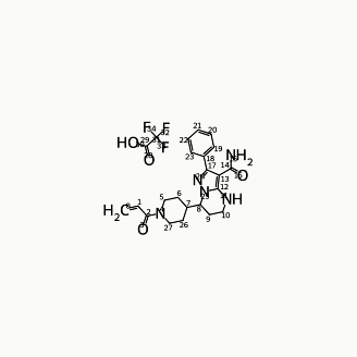 C=CC(=O)N1CCC(C2CCNc3c(C(N)=O)c(-c4ccccc4)nn32)CC1.O=C(O)C(F)(F)F